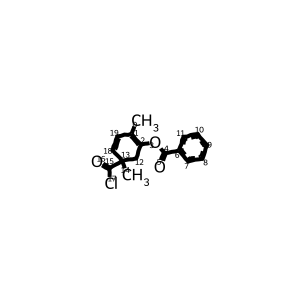 CC1=C(OC(=O)c2ccccc2)CC(C)(C(=O)Cl)C=C1